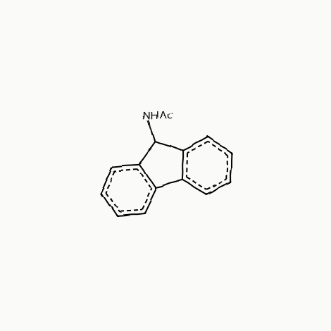 CC(=O)NC1c2ccccc2-c2ccccc21